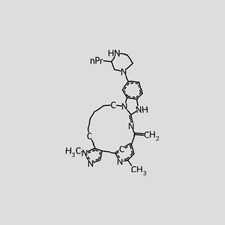 C=C1/N=C2\Nc3ccc(N4CCNC(CCC)C4)cc3N2CCCCCCc2c(cnn2C)-c2cc1cc(C)n2